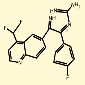 N=C(N)/N=C(\C(=N)c1ccc2nccc(C(F)F)c2c1)c1ccc(F)cc1